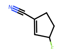 N#CC1=CC(F)CC1